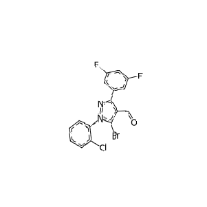 O=Cc1c(-c2cc(F)cc(F)c2)nn(-c2ccccc2Cl)c1Br